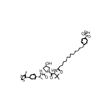 Cc1ncsc1-c1ccc([C@H](C)NC(=O)[C@@H]2C[C@@H](O)CN2C(=O)[C@@H](NC(=O)CCCCCCCCCCCCc2ccc(S(=O)(=O)O)cc2)C(C)(C)C)cc1